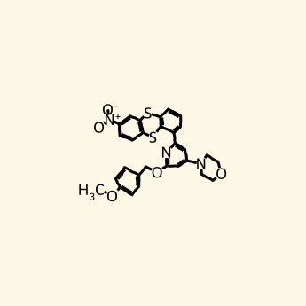 COc1ccc(COc2cc(N3CCOCC3)cc(-c3cccc4c3Sc3ccc([N+](=O)[O-])cc3S4)n2)cc1